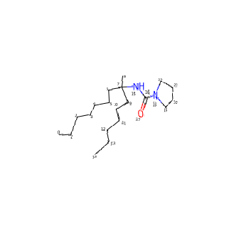 CCCCCCCC(C)(CCCCCC)NC(=O)N1CCCC1